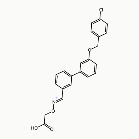 O=C(O)CO/N=C/c1cccc(-c2cccc(OCc3ccc(Cl)cc3)c2)c1